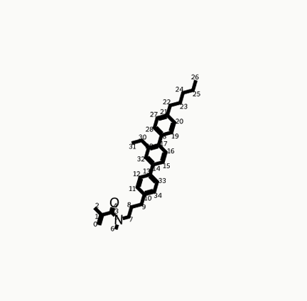 C=C(C)C(=O)N(C)CCCc1ccc(-c2ccc(-c3ccc(CCCCC)cc3)c(CC)c2)cc1